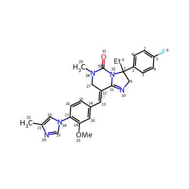 CCC1(c2ccc(F)cc2)CN=C2/C(=C/c3ccc(-n4cnc(C)c4)c(OC)c3)CN(C)C(=O)N21